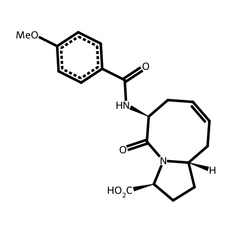 COc1ccc(C(=O)N[C@H]2CC=CC[C@@H]3CC[C@@H](C(=O)O)N3C2=O)cc1